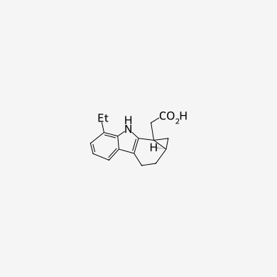 CCc1cccc2c3c([nH]c12)C1(CC(=O)O)C[C@H]1CC3